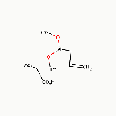 C=C[CH2][Al]([O]C(C)C)[O]C(C)C.CC(=O)CC(=O)O